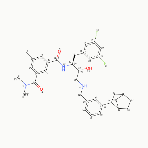 CCCN(CCC)C(=O)c1cc(C)cc(C(=O)N[C@@H](Cc2cc(F)cc(F)c2)[C@H](O)CNCc2cccc(C3CC4CCC3C4)c2)c1